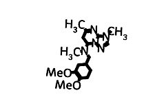 COC1=C(OC)CC(CN(C)C2CC(C)=NC3N(C)C=NN32)CC1